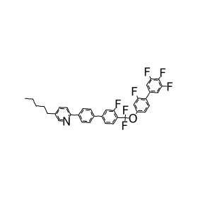 CCCCCc1ccc(-c2ccc(-c3ccc(C(F)(F)Oc4ccc(-c5cc(F)c(F)c(F)c5)c(F)c4)c(F)c3)cc2)nc1